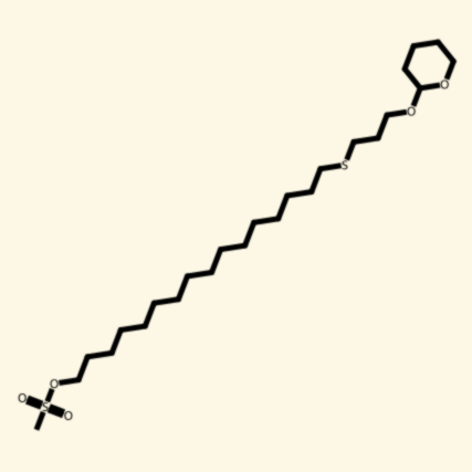 CS(=O)(=O)OCCCCCCCCCCCCCCCCSCCCOC1CCCCO1